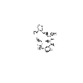 CCc1ccccc1CNCC(O)C(C)NC(=O)c1cc(NC2CCN(C)CC2)ncn1